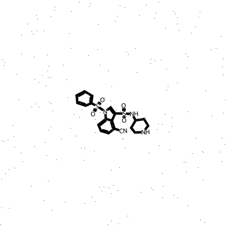 N#Cc1cccc2c1c(S(=O)(=O)NC1CCNCC1)cn2S(=O)(=O)c1ccccc1